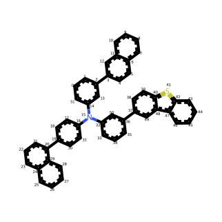 c1cc(-c2ccc3ccccc3c2)cc(N(c2ccc(-c3cccc4ccccc34)cc2)c2cccc(-c3ccc4sc5ccccc5c4c3)c2)c1